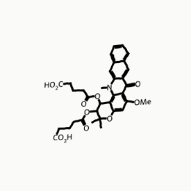 COc1cc2c(c3c1c(=O)c1cc4ccccc4cc1n3C)C(OC(=O)CCCC(=O)O)C(OC(=O)CCCC(=O)O)C(C)(C)O2